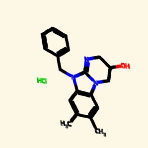 Cc1cc2c(cc1C)N1CC(O)CN=C1N2Cc1ccccc1.Cl